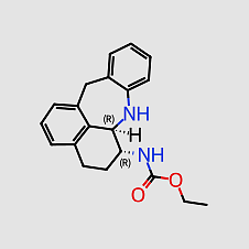 CCOC(=O)N[C@@H]1CCc2cccc3c2[C@H]1Nc1ccccc1C3